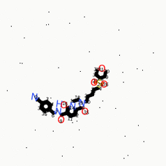 N#Cc1ccc(CNC(=O)c2ccc3n(c2=O)CCN(CCCCCS(=O)(=O)C2CCOCC2)C3=O)cc1